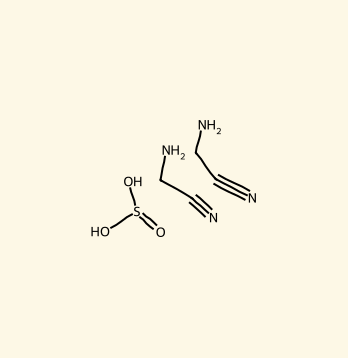 N#CCN.N#CCN.O=S(O)O